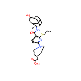 CCCSc1nc(N2CCC(CC(=O)O)CC2)ccc1C(=O)N[C@H]1C2CC3CC1C[C@@](O)(C3)C2